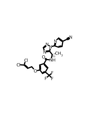 C[C@H](NC(=O)c1cc(OCC=C(Cl)Cl)cc(C(F)(F)F)c1)c1ncnn1-c1ccc(C#N)cn1